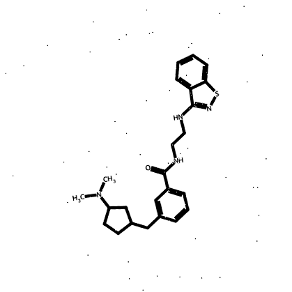 CN(C)C1CCC(Cc2cccc(C(=O)NCCNc3nsc4ccccc34)c2)C1